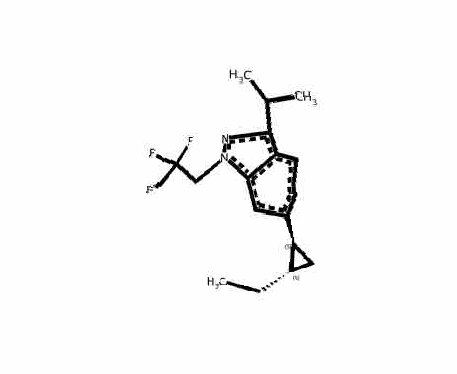 CC[C@H]1C[C@@H]1c1ccc2c(C(C)C)nn(CC(F)(F)F)c2c1